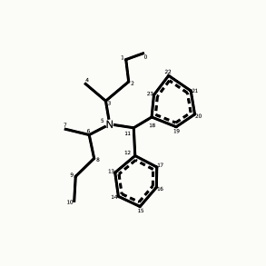 CCCC(C)N(C(C)CCC)C(c1ccccc1)c1ccccc1